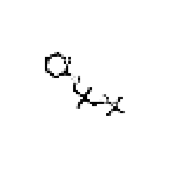 CC(C)(COC1CCCCO1)CO[Si](C)(C)C